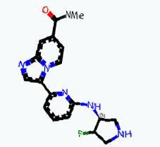 CNC(=O)c1ccn2c(-c3cccc(N[C@H]4CNCC4F)n3)cnc2c1